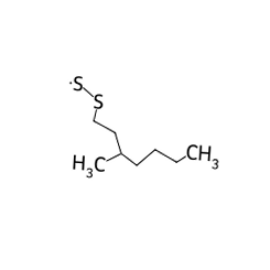 CCCCC(C)CCS[S]